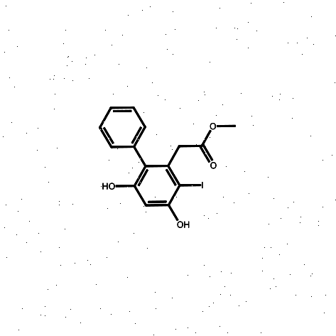 COC(=O)Cc1c(I)c(O)cc(O)c1-c1ccccc1